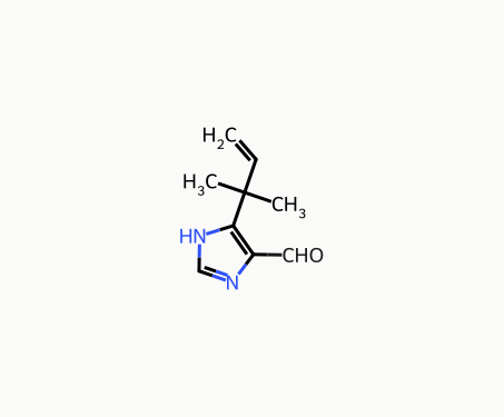 C=CC(C)(C)c1[nH]cnc1C=O